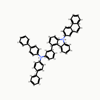 c1ccc(-c2ccc(N(c3ccc(-c4ccccc4)cc3)c3cccc(-c4cccc5c4c4ccccc4n5-c4ccc5c(ccc6ccccc65)c4)c3)cc2)cc1